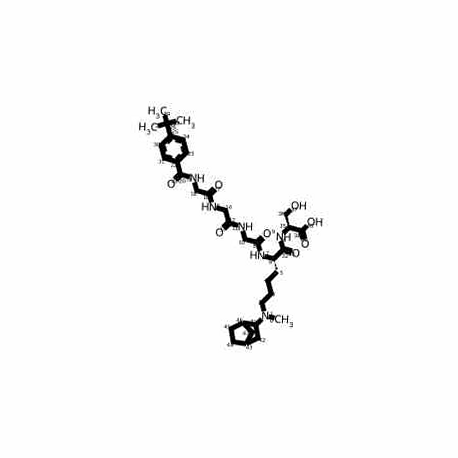 CN(CCCC[C@H](NC(=O)CNC(=O)CNC(=O)CNC(=O)c1ccc(C(C)(C)C)cc1)C(=O)N[C@@H](CO)C(=O)O)C1CC2CCC1C2